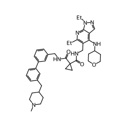 CCc1nc2c(cnn2CC)c(NC2CCOCC2)c1CNC(=O)C1(C(=O)NCc2cccc(-c3cccc(CC4CCN(C)CC4)c3)c2)CC1